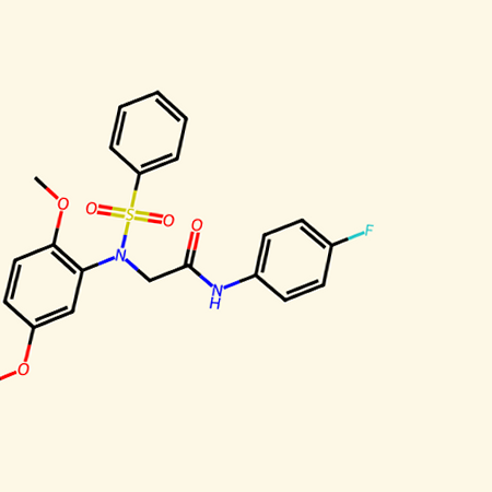 COc1ccc(OC)c(N(CC(=O)Nc2ccc(F)cc2)S(=O)(=O)c2ccccc2)c1